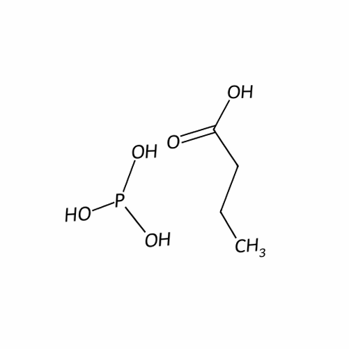 CCCC(=O)O.OP(O)O